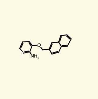 Nc1ncccc1OCc1ccc2ccccc2c1